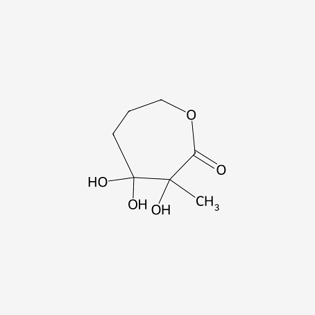 CC1(O)C(=O)OCCCC1(O)O